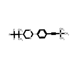 CC(C)([C@H]1CS[C@H](c2ccc(C#C[Si](C)(C)C)cc2)SC1)C(F)(F)F